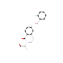 CC(C(N)=O)N1CCc2cc(OCc3c(F)cccc3F)ccc2C1=O